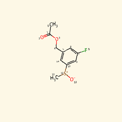 CC(=O)OCc1cc(F)cc([S+](C)[O-])c1